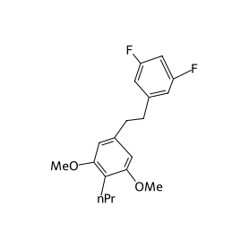 CCCc1c(OC)cc(CCc2cc(F)cc(F)c2)cc1OC